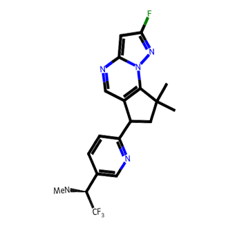 CN[C@@H](c1ccc(C2CC(C)(C)c3c2cnc2cc(F)nn32)nc1)C(F)(F)F